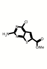 COC(=O)c1cc2c(Cl)nc(N)nc2s1